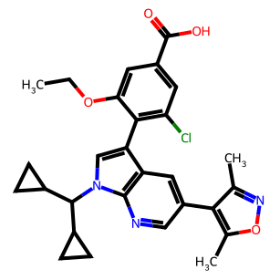 CCOc1cc(C(=O)O)cc(Cl)c1-c1cn(C(C2CC2)C2CC2)c2ncc(-c3c(C)noc3C)cc12